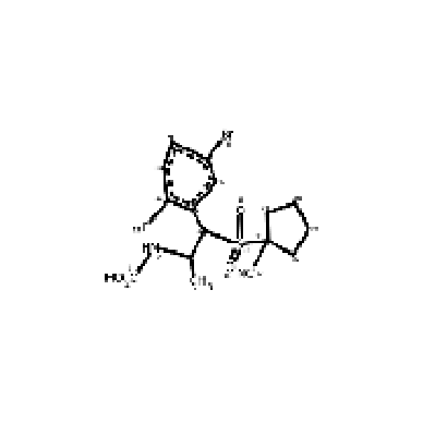 CC(NC(=O)O)C(c1cc(Br)ccc1F)S(=O)(=O)C1(C#N)CCCC1